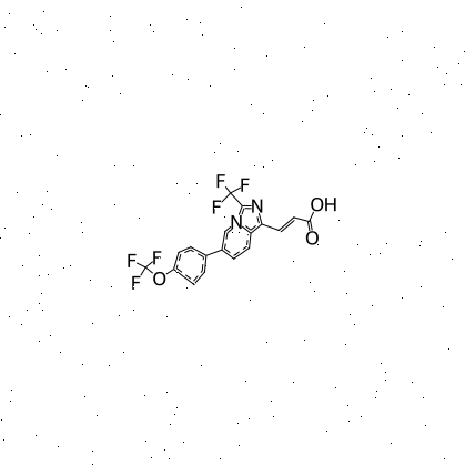 O=C(O)/C=C/c1nc(C(F)(F)F)n2cc(-c3ccc(OC(F)(F)F)cc3)ccc12